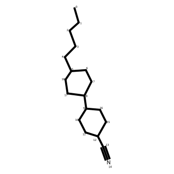 CCCCCC1CCC(C2CCC(C#N)CC2)CC1